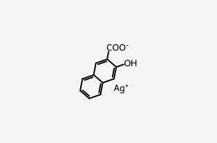 O=C([O-])c1cc2ccccc2cc1O.[Ag+]